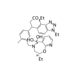 CCOC(=O)CC(c1ccc(C)c(CN2C[C@@H](CC)Oc3ncccc3S2(O)O)c1)c1ccc2c(nnn2CC)c1C